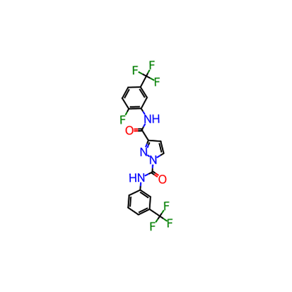 O=C(Nc1cc(C(F)(F)F)ccc1F)c1ccn(C(=O)Nc2cccc(C(F)(F)F)c2)n1